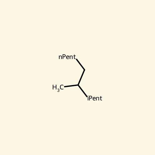 CCCCCCC(C)C(C)CCC